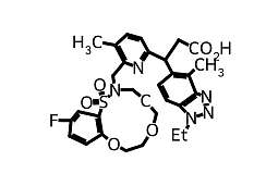 CCn1nnc2c(C)c(C(CC(=O)O)c3ccc(C)c(CN4CCCOCCOc5ccc(F)cc5S4(=O)=O)n3)ccc21